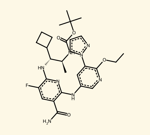 CCOc1ncc(Nc2nc(N[C@H](C3CCC3)[C@H](C)NC(=O)OC(C)(C)C)c(F)cc2C(N)=O)cc1-n1cccn1